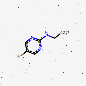 O=C(O)CNc1ncc(Br)cn1